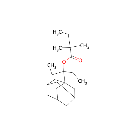 CCC(C)(C)C(=O)OC(CC)(CC)C12CC3CC(CC(C3)C1)C2